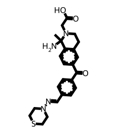 CC1(N)c2ccc(C(=O)c3ccc(C=NN4CCSCC4)cc3)cc2CCN1CC(=O)O